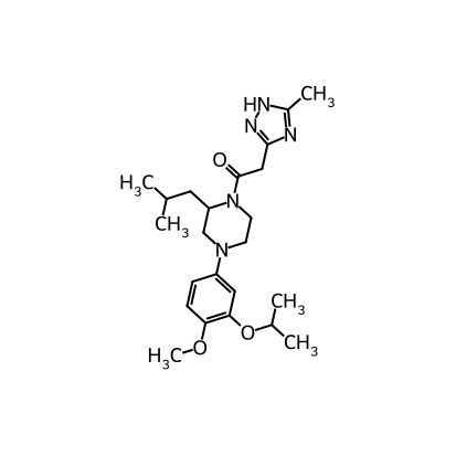 COc1ccc(N2CCN(C(=O)Cc3n[nH]c(C)n3)C(CC(C)C)C2)cc1OC(C)C